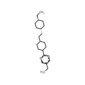 CCc1cnc(C2CCC(CC[C@H]3CC[C@H](CC)CC3)CC2)nc1